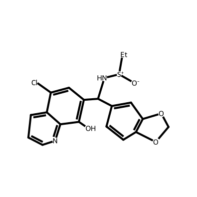 CC[S+]([O-])NC(c1ccc2c(c1)OCO2)c1cc(Cl)c2cccnc2c1O